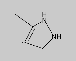 CC1=[C]CNN1